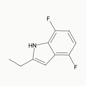 CCc1cc2c(F)ccc(F)c2[nH]1